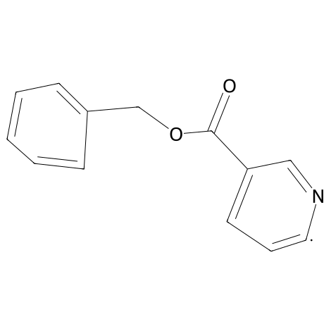 O=C(OCc1ccccc1)c1cc[c]nc1